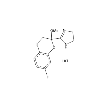 COC1(C2=NCCN2)COc2ccc(F)cc2O1.Cl